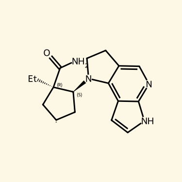 CC[C@@]1(C(N)=O)C[CH]C[C@@H]1N1CCc2cnc3[nH]ccc3c21